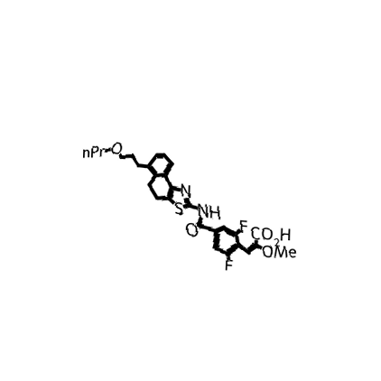 CCCOCCCc1cccc2c1CCc1sc(NC(=O)c3cc(F)c(C=C(OC)C(=O)O)c(F)c3)nc1-2